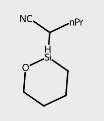 CCCC(C#N)[SiH]1CCCCO1